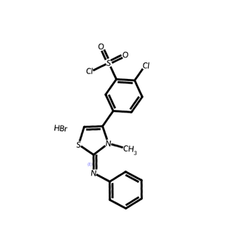 Br.Cn1c(-c2ccc(Cl)c(S(=O)(=O)Cl)c2)cs/c1=N/c1ccccc1